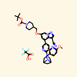 COc1ccc(CN2C3CC2CN(c2ccc(-c4cc(OCC5CCN(C(=O)OC(C)(C)C)CC5)cn5ncc(C#N)c45)cn2)C3)cn1.O=C(O)C(F)(F)F